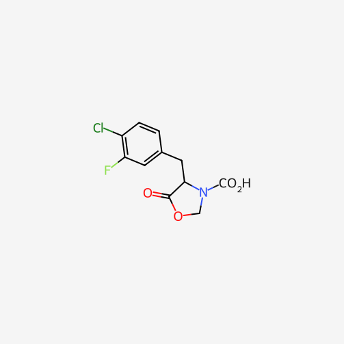 O=C1OCN(C(=O)O)C1Cc1ccc(Cl)c(F)c1